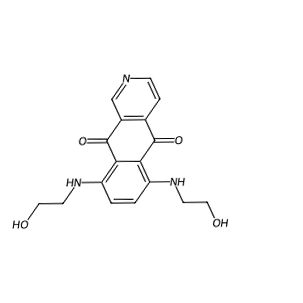 O=C1c2ccncc2C(=O)c2c(NCCO)ccc(NCCO)c21